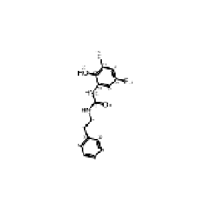 O=C(NCCc1ccccc1)Nc1cc(F)cc(F)c1O